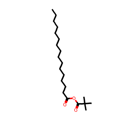 CCCCCCCCCCCCCCCC(=O)OC(=O)C(C)(C)C